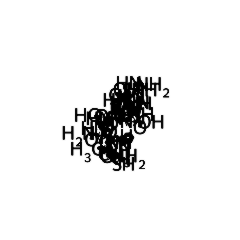 CC[C@H](C)[C@H](NC(=O)[C@@H](N)CS)C(=O)N[C@@H](Cc1c[nH]c2ccccc12)C(=O)N[C@@H](CCC(N)=O)C(=O)N[C@@H](CC(=O)O)C(=O)N[C@@H](Cc1c[nH]c2ccccc12)C(=O)NCC(=O)N[C@@H](CCC(=O)O)C(=O)N[C@@H](Cc1c[nH]cn1)C(=O)N[C@@H](CCCNC(=N)N)C(=O)N[C@@H](CS)C(=O)O